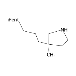 CCCC(C)CCC[C@]1(C)CCNC1